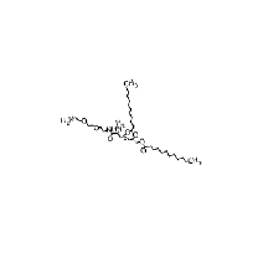 CCCCCCCCCCCC(=O)OC[C@H](CSC[C@H](N)C(=O)NCCOCCOCCN)OC(=O)CCCCCCCCCCC